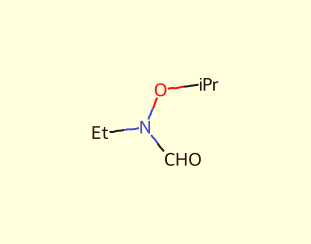 CCN(C=O)OC(C)C